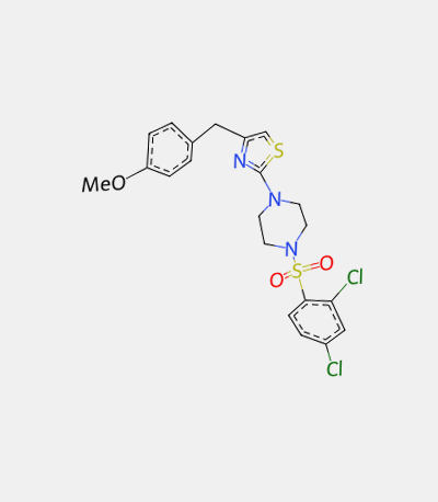 COc1ccc(Cc2csc(N3CCN(S(=O)(=O)c4ccc(Cl)cc4Cl)CC3)n2)cc1